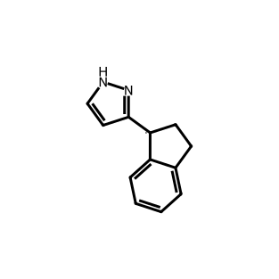 c1ccc2c(c1)CC[C]2c1cc[nH]n1